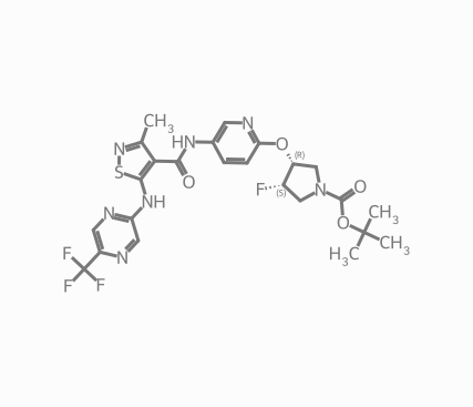 Cc1nsc(Nc2cnc(C(F)(F)F)cn2)c1C(=O)Nc1ccc(O[C@@H]2CN(C(=O)OC(C)(C)C)C[C@@H]2F)nc1